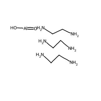 NCCN.NCCN.NCCN.[O]=[Al][OH]